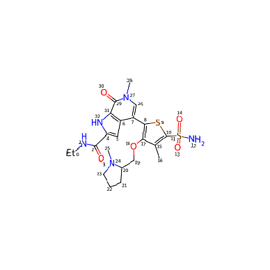 CCNC(=O)c1cc2c(-c3sc(S(N)(=O)=O)c(C)c3OCC3CCCN3C)cn(C)c(=O)c2[nH]1